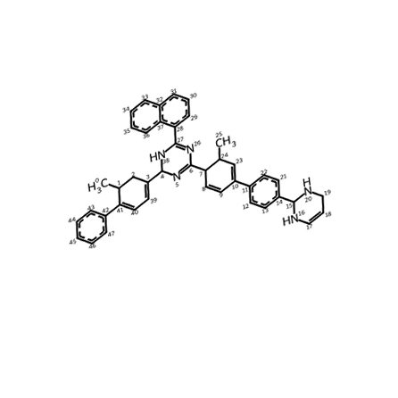 CC1CC(C2N=C(C3C=CC(c4ccc(C5NC=CCN5)cc4)=CC3C)N=C(c3cccc4ccccc34)N2)=CC=C1c1ccccc1